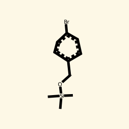 C[Si](C)(C)O[CH]c1ccc(Br)cc1